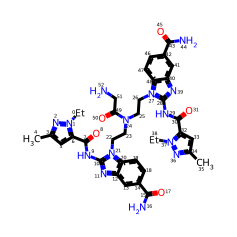 CCn1nc(C)cc1C(=O)Nc1nc2cc(C(N)=O)ccc2n1CCN(CCn1c(NC(=O)c2cc(C)nn2CC)nc2cc(C(N)=O)ccc21)C(=O)CN